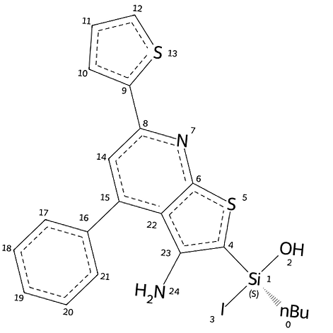 CCCC[Si@](O)(I)c1sc2nc(-c3cccs3)cc(-c3ccccc3)c2c1N